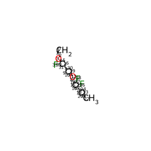 C=CCOc1ccc(-c2ccc(OCc3ccc(-c4ccc(C)cc4)c(F)c3F)cc2)cc1F